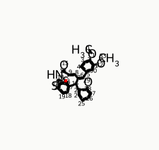 COc1ccc(C2=C(C=C3SC(=S)NC3=O)C(c3ccccc3)c3ccccc3O2)cc1OC